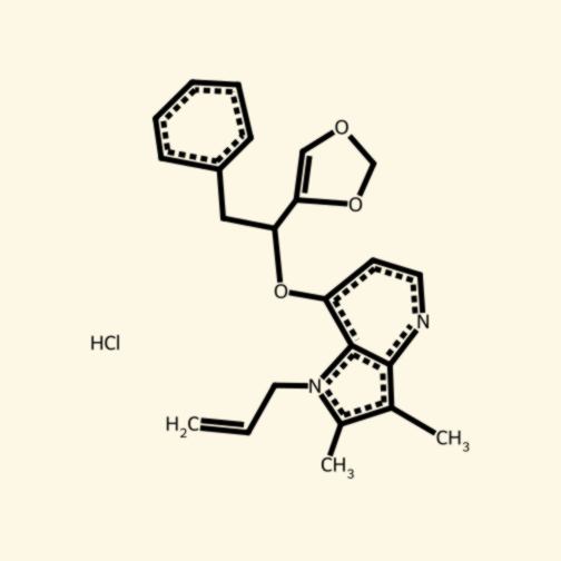 C=CCn1c(C)c(C)c2nccc(OC(Cc3ccccc3)C3=COCO3)c21.Cl